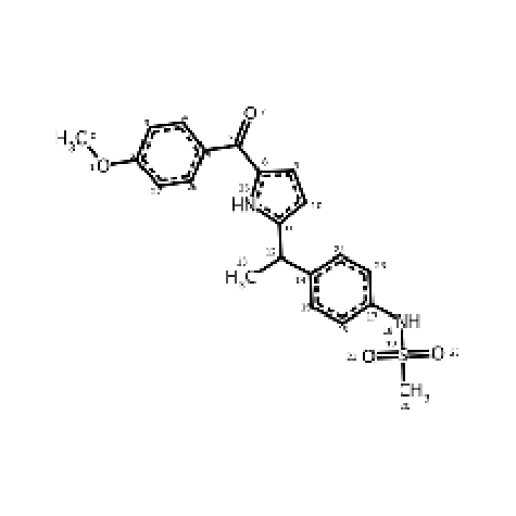 COc1ccc(C(=O)c2ccc(C(C)c3ccc(NS(C)(=O)=O)cc3)[nH]2)cc1